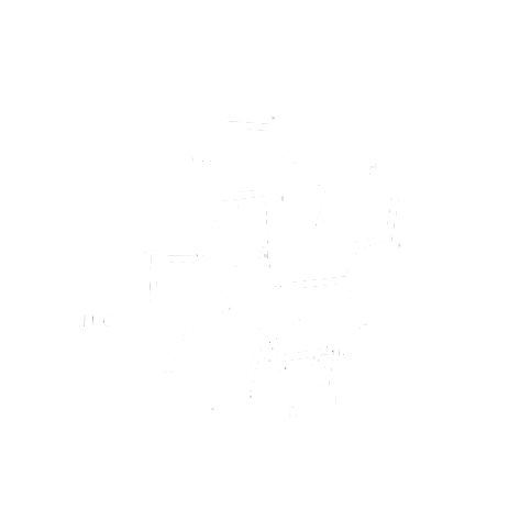 Cc1cc2c(c3c1ccc1ccccc13)[Si](c1ccccc1)(c1ccccc1)c1ccccc1-2